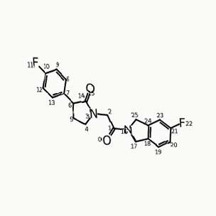 O=C(CN1CCC(c2ccc(F)cc2)C1=O)N1Cc2ccc(F)cc2C1